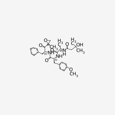 COc1ccc(C[C@H](NC(=O)[C@@H](C)NC(=O)CC(C)(C)O)C(=O)N[C@@H](Cc2ccccc2)C(=O)[C@@]2(C)CO2)cc1